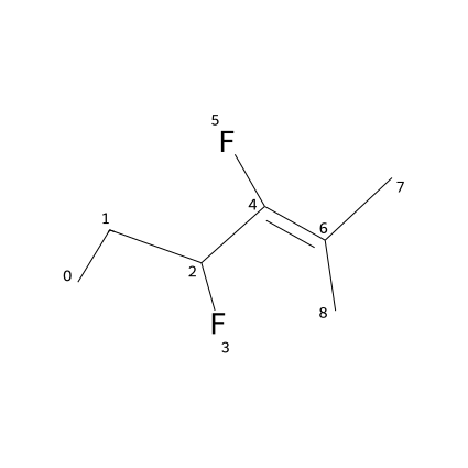 CCC(F)C(F)=C(C)C